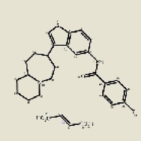 O=C(Nc1ccc2scc(C3CCC4CCCCN4CC3)c2c1)c1ccc(F)cc1.O=C(O)/C=C/C(=O)O